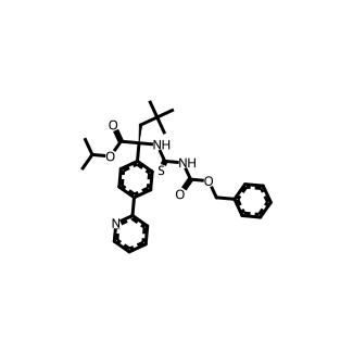 CC(C)OC(=O)[C@](CC(C)(C)C)(NC(=S)NC(=O)OCc1ccccc1)c1ccc(-c2ccccn2)cc1